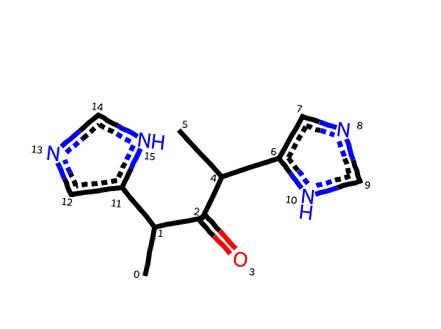 CC(C(=O)C(C)c1cnc[nH]1)c1cnc[nH]1